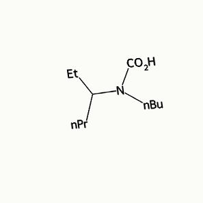 CCCCN(C(=O)O)C(CC)CCC